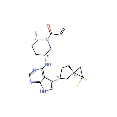 C=CC(=O)N1C[C@H](Nc2ncnc3[nH]cc([C@@H]4CC[C@@]5(C4)CC5(F)F)c23)CC[C@@H]1C